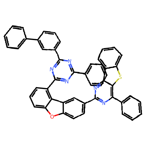 c1ccc(-c2cccc(-c3nc(-c4ccccc4)nc(-c4cccc5oc6ccc(-c7nc(-c8ccccc8)c8sc9ccccc9c8n7)cc6c45)n3)c2)cc1